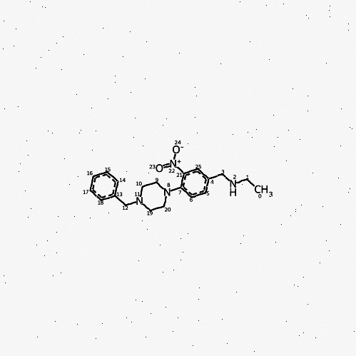 CCNCc1ccc(N2CCN(Cc3ccccc3)CC2)c([N+](=O)[O-])c1